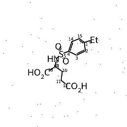 CCc1ccc(S(=O)(=O)N[C@@H](CCC(=O)O)C(=O)O)cc1